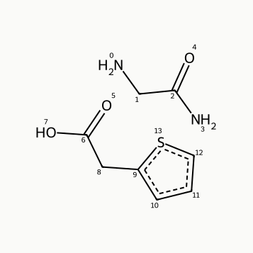 NCC(N)=O.O=C(O)Cc1cccs1